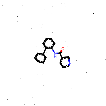 O=C(Nc1ccccc1-c1ccccc1)c1cccnc1